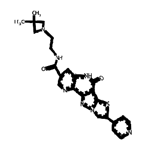 CC1(C)CN(CCNC(=O)c2cnc3c(c2)[nH]c(=O)c2c3nn3cc(-c4ccncc4)sc23)C1